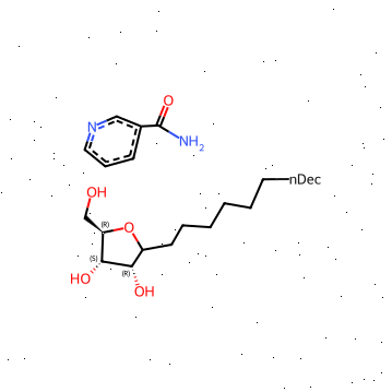 CCCCCCCCCCCCCCCCC1O[C@H](CO)[C@@H](O)[C@H]1O.NC(=O)c1cccnc1